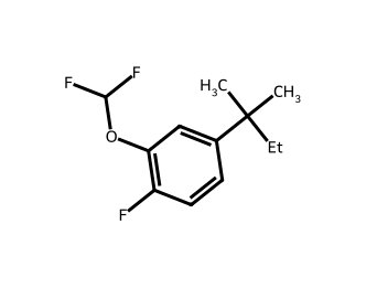 CCC(C)(C)c1ccc(F)c(OC(F)F)c1